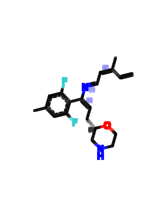 C=C\C(C)=C/C=N/C(=C/C[C@H]1CNCCO1)c1c(F)cc(C)cc1F